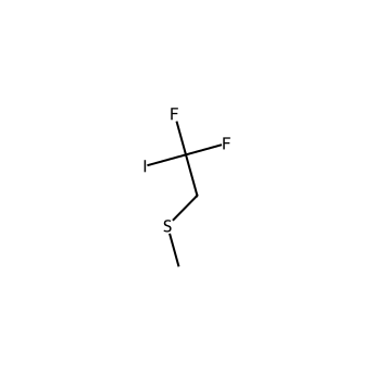 CSCC(F)(F)I